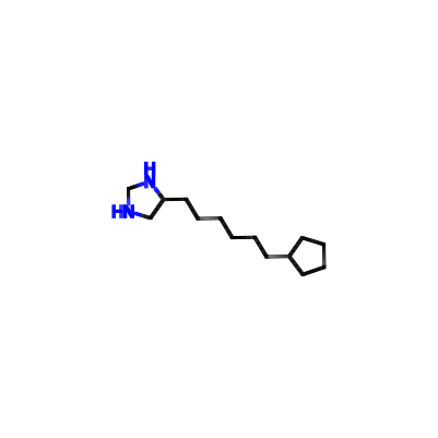 C(CCCC1CNCN1)CCC1CCCC1